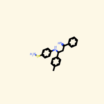 Cc1ccc(C(CC(=N)c2ccccc2)Nc2ccc(SN)cc2)cc1